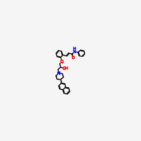 O=C(/C=C/c1ccccc1OCC(O)CN1CCC(c2ccc3ccccc3c2)CC1)Nc1ccccc1